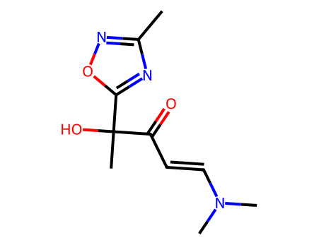 Cc1noc(C(C)(O)C(=O)/C=C/N(C)C)n1